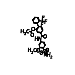 COc1cc(NC(=O)c2ccc(-c3ccccc3C(F)(F)F)c(OC(C)=O)c2)ccc1S(N)(=O)=O